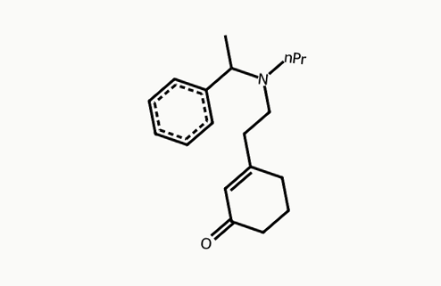 CCCN(CCC1=CC(=O)CCC1)C(C)c1ccccc1